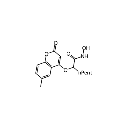 CCCCCC(Oc1cc(=O)oc2ccc(C)cc12)C(=O)NO